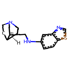 c1nc2cc(NC[C@@H]3CN4CCC3CC4)ccc2s1